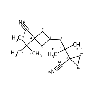 CC(C)(C)C1(C#N)CC(CC(C)(C)C2(C#N)CC2)C1